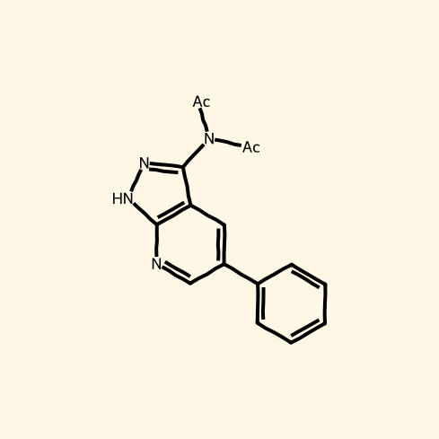 CC(=O)N(C(C)=O)c1n[nH]c2ncc(-c3ccccc3)cc12